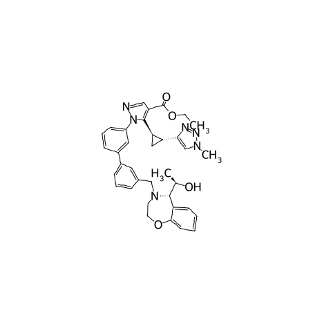 CCOC(=O)c1cnn(-c2cccc(-c3cccc(CN4CCOc5ccccc5[C@H]4[C@@H](C)O)c3)c2)c1[C@@H]1C[C@H]1c1cn(C)nn1